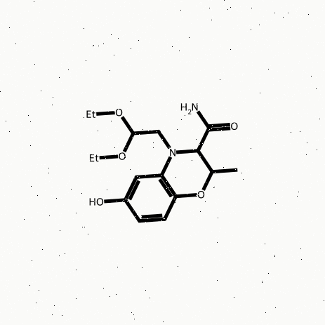 CCOC(CN1c2cc(O)ccc2OC(C)C1C(N)=O)OCC